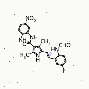 Cc1[nH]c(/C=C/c2cc(F)ccc2NC=O)c(C)c1C(=O)Nc1cc([N+](=O)[O-])ccc1N